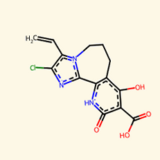 C=Cc1c(Cl)nc2n1CCCc1c-2[nH]c(=O)c(C(=O)O)c1O